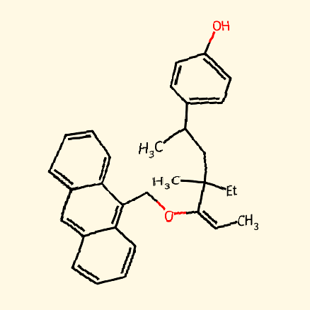 C/C=C(/OCc1c2ccccc2cc2ccccc12)C(C)(CC)CC(C)c1ccc(O)cc1